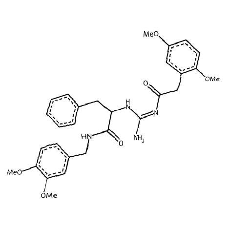 COc1ccc(OC)c(CC(=O)N=C(N)NC(Cc2ccccc2)C(=O)NCc2ccc(OC)c(OC)c2)c1